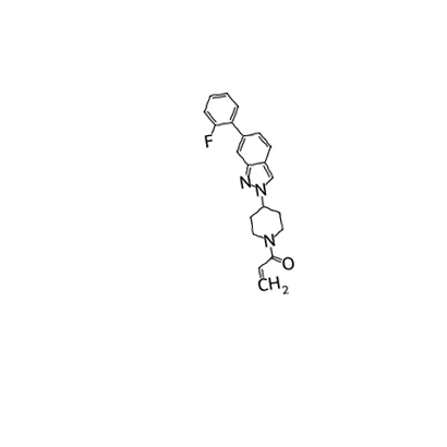 C=CC(=O)N1CCC(n2cc3ccc(-c4ccccc4F)cc3n2)CC1